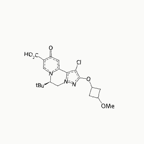 COC1CC(Oc2nn3c(c2Cl)-c2cc(=O)c(C(=O)O)cn2[C@H](C(C)(C)C)C3)C1